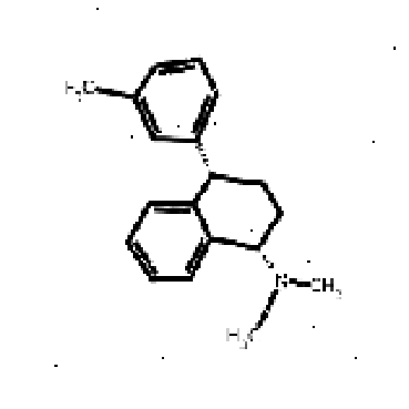 CN(C)[C@H]1CC[C@@H](c2cccc(C(F)(F)F)c2)c2ccccc21